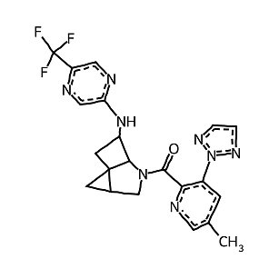 Cc1cnc(C(=O)N2CC3CC34CC(Nc3cnc(C(F)(F)F)cn3)C24)c(-n2nccn2)c1